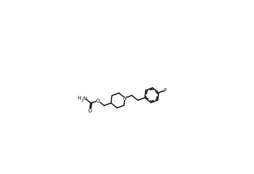 NC(=O)OCC1CCN(CCc2ccc(F)cc2)CC1